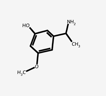 COc1cc(O)cc(C(C)N)c1